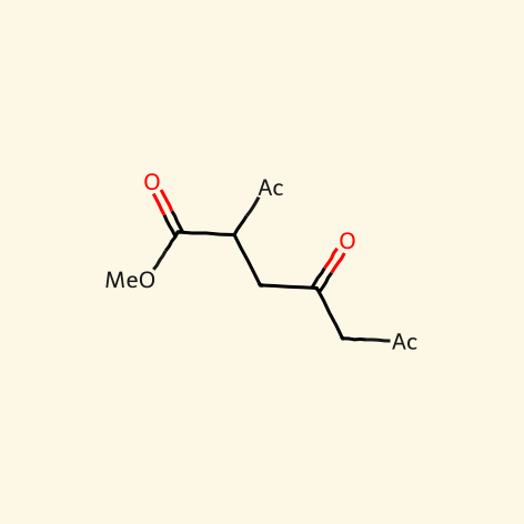 COC(=O)C(CC(=O)CC(C)=O)C(C)=O